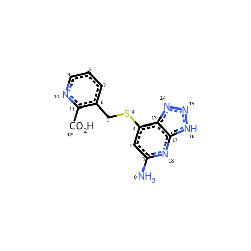 Nc1cc(SCc2cccnc2C(=O)O)c2nn[nH]c2n1